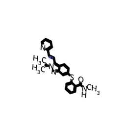 CNC(=O)c1ccccc1Sc1ccc2c(/C=C/c3ccccn3)n(C(C)C)nc2c1